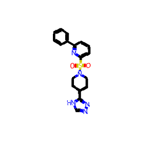 O=S(=O)(c1cccc(-c2ccccc2)n1)N1CCC(c2nnc[nH]2)CC1